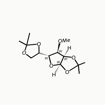 CO[C@H]1[C@H]2OC(C)(C)O[C@H]2O[C@@H]1C1COC(C)(C)O1